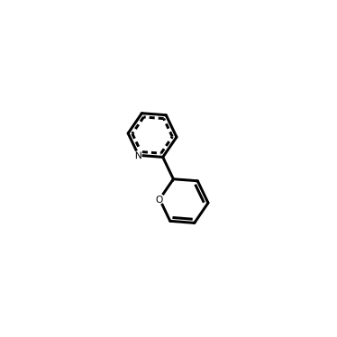 C1=CO[C](c2ccccn2)C=C1